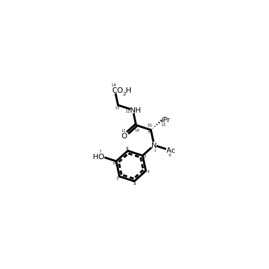 CC(=O)N(c1cccc(O)c1)[C@H](C(=O)NCC(=O)O)C(C)C